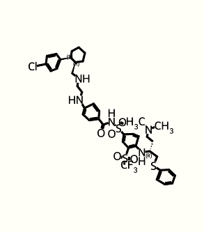 CN(C)CC[C@H](CSc1ccccc1)Nc1ccc(S(=O)(=O)NC(=O)c2ccc(NCCNC[C@@H]3CCCC[C@@H]3c3ccc(Cl)cc3)cc2)cc1S(=O)(=O)C(F)(F)F